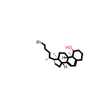 CC(C)CCC[C@@H](C)[C@H]1CC[C@H]2C3=CC=C4CCC[C@H](O)[C@]4(C)[C@H]3CC[C@]12C